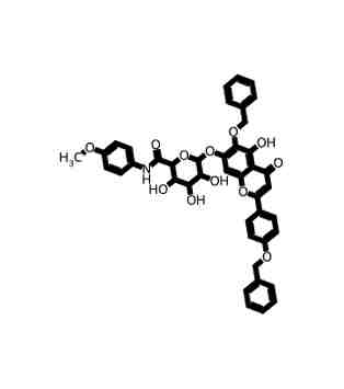 COc1ccc(NC(=O)C2OC(Oc3cc4oc(-c5ccc(OCc6ccccc6)cc5)cc(=O)c4c(O)c3OCc3ccccc3)C(O)C(O)C2O)cc1